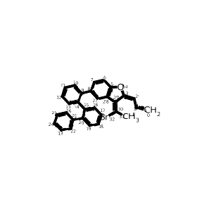 C=C/C=c1/oc2ccc(-c3ccccc3-c3ccccc3-c3ccccc3)cc2/c1=C(/C)Br